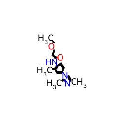 CCOCCC(=O)Nc1ccc(-n2cc(C)nc2C)cc1C